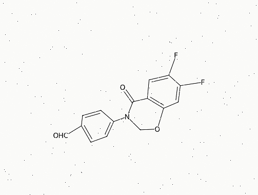 O=Cc1ccc(N2COc3cc(F)c(F)cc3C2=O)cc1